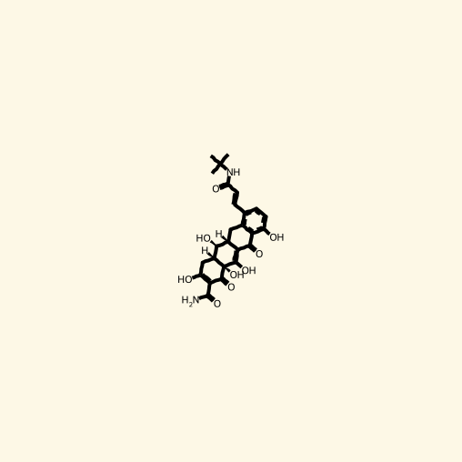 CC(C)(C)NC(=O)/C=C/c1ccc(O)c2c1C[C@@H]1C(=C(O)[C@]3(O)C(=O)C(C(N)=O)=C(O)C[C@@H]3[C@H]1O)C2=O